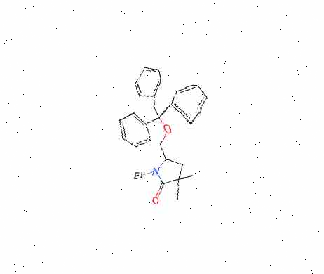 CCN1C(=O)C(C)(C)CC1COC(c1ccccc1)(c1ccccc1)c1ccccc1